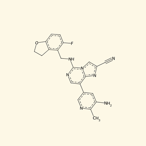 Cc1ncc(-c2cnc(NCc3c(F)ccc4c3CCO4)n3cc(C#N)nc23)cc1N